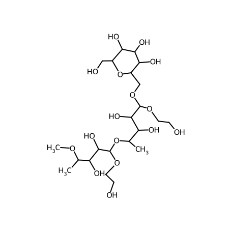 COC(C)C(O)C(O)C(OCCO)OC(C)C(O)C(O)C(OCCO)OCC1OC(CO)C(O)C(O)C1O